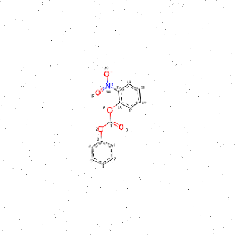 O=C(Oc1ccccc1)Oc1ccccc1[N+](=O)[O-]